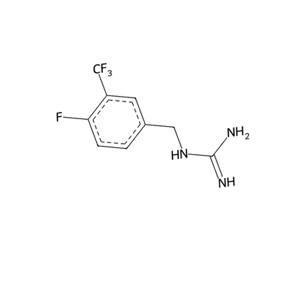 N=C(N)NCc1ccc(F)c(C(F)(F)F)c1